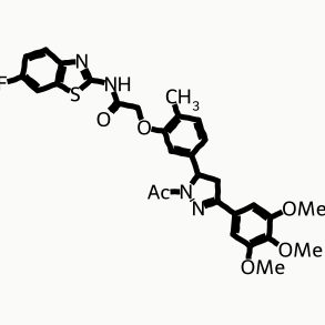 COc1cc(C2=NN(C(C)=O)C(c3ccc(C)c(OCC(=O)Nc4nc5ccc(F)cc5s4)c3)C2)cc(OC)c1OC